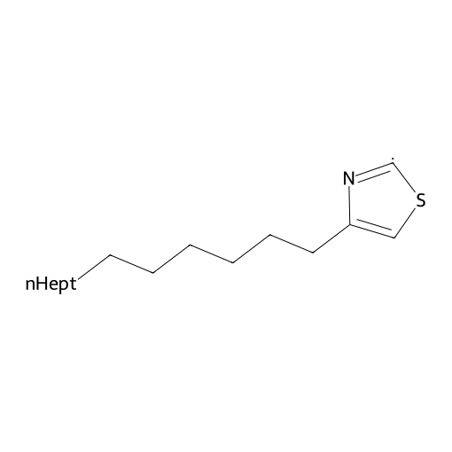 CCCCCCCCCCCCCc1cs[c]n1